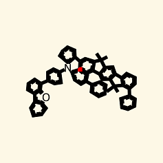 CC1(C)c2cc(-c3ccccc3N(c3ccc(-c4ccccc4)cc3)c3ccc(-c4cccc5c4oc4ccccc45)cc3)ccc2-c2cc3c(cc21)-c1cccc(-c2ccccc2)c1C3(C)C